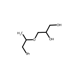 CC(C)CC(C)OCC(O)CO